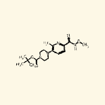 CONC(=O)c1ccc(N2CCN(C(=O)OC(C)(C)C)CC2)c(C)n1